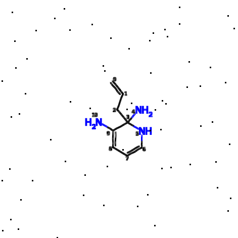 C=CCC1(N)NC=CC=C1N